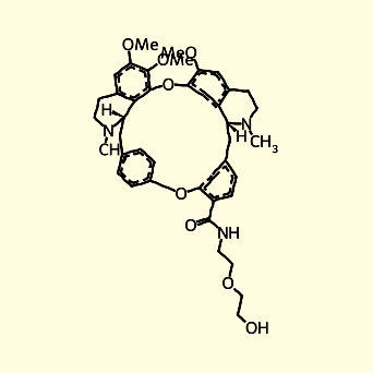 COc1cc2c3cc1Oc1c(OC)c(OC)cc4c1[C@H](Cc1ccc(cc1)Oc1cc(ccc1C(=O)NCCOCCO)C[C@H]3N(C)CC2)N(C)CC4